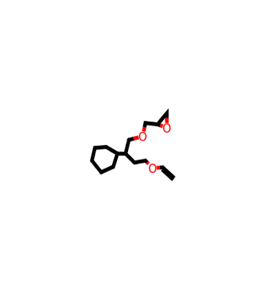 C=COCCC(COCC1CO1)C1CCCCC1